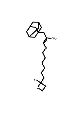 CCC1(CCCCCCOC=C(CC23CC4CC(CC(C4)C2)C3)C(=O)O)CCO1